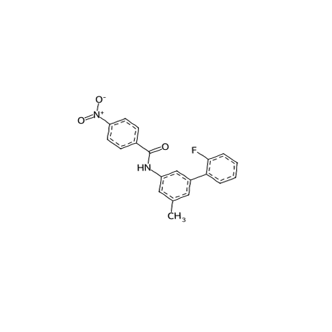 Cc1cc(NC(=O)c2ccc([N+](=O)[O-])cc2)cc(-c2ccccc2F)c1